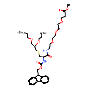 CCCCCCCCCCCCOC[C@H](CSC[C@H](NC(=O)OCC1c2ccccc2-c2ccccc21)C(=O)NCCOCCOCCOCCC(=O)OC(C)(C)C)OCCCCCCCCCCCC